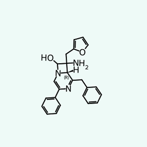 NC1(Cc2ccco2)C(O)N2C=C(c3ccccc3)N=C(Cc3ccccc3)[C@H]21